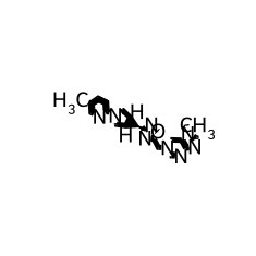 Cc1ccc(N2C[C@@H]3[C@H](C2)[C@@H]3c2noc(CN3C=Nc4ncn(C)c4C3)n2)nc1